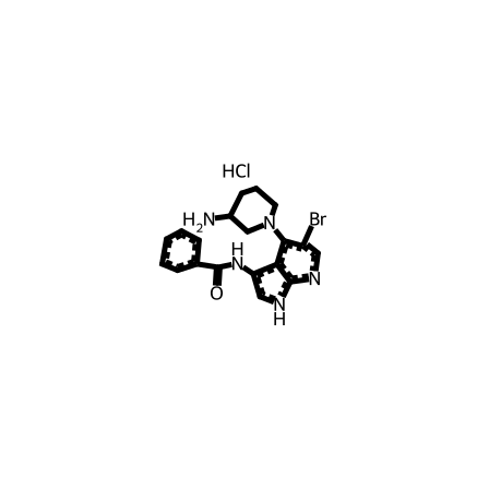 Cl.NC1CCCN(c2c(Br)cnc3[nH]cc(NC(=O)c4ccccc4)c23)C1